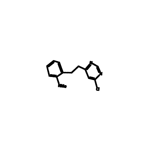 CNc1ccccc1CCc1cc(Cl)ncn1